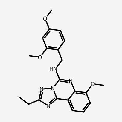 [CH2]Cc1nc2c3cccc(OC)c3nc(NCc3ccc(OC)cc3OC)n2n1